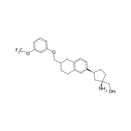 N[C@]1(CO)CC[C@H](c2ccc3c(c2)CCC(COc2cccc(OC(F)(F)F)c2)C3)C1